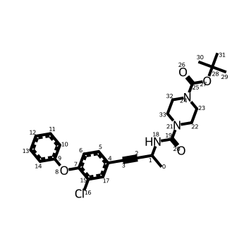 CC(C#Cc1ccc(Oc2ccccc2)c(Cl)c1)NC(=O)N1CCN(C(=O)OC(C)(C)C)CC1